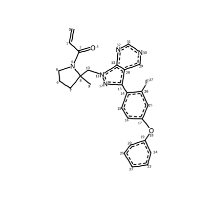 C=CC(=O)N1CCCC1(C)Cn1nc(-c2ccc(Oc3ccccc3)cc2F)c2cncnc21